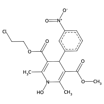 COC(=O)C1=C(C)N(O)C(C)=C(C(=O)OCCCl)C1c1cccc([N+](=O)[O-])c1